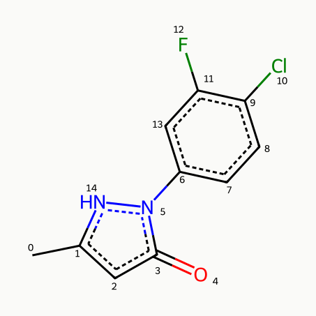 Cc1cc(=O)n(-c2ccc(Cl)c(F)c2)[nH]1